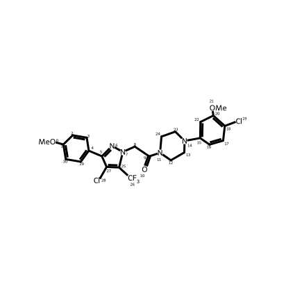 COc1ccc(-c2nn(CC(=O)N3CCN(c4ccc(Cl)c(OC)c4)CC3)c(C(F)(F)F)c2Cl)cc1